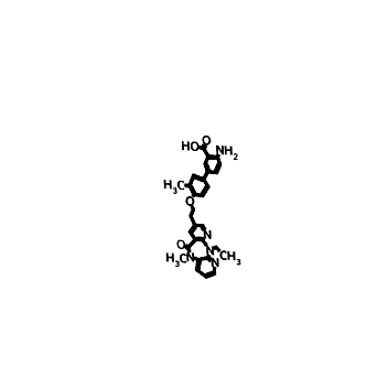 CCN1c2ncc(CCOc3ccc(-c4ccc(N)c(C(=O)O)c4)cc3C)cc2C(=O)N(C)c2cccnc21